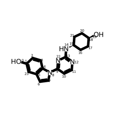 Oc1ccc2c(ccn2-c2ccnc(N[C@H]3CC[C@H](O)CC3)n2)c1